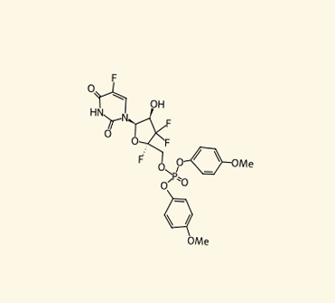 COc1ccc(OP(=O)(OC[C@@]2(F)O[C@@H](n3cc(F)c(=O)[nH]c3=O)[C@@H](O)C2(F)F)Oc2ccc(OC)cc2)cc1